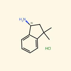 CC1(C)C[C@H](N)c2ccccc21.Cl